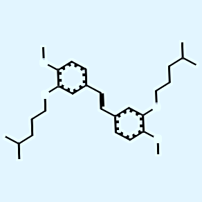 COc1ccc(/C=C/c2ccc(OC)c(OCCCC(C)C)c2)cc1OCCCC(C)C